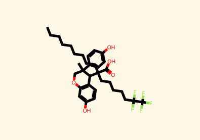 CCCCCCCCCC(CCCCCC(F)(F)C(F)(F)F)(C(=O)O)C1c2ccc(O)cc2OCC1(C)c1ccc(O)cc1